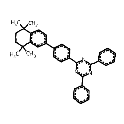 CC1(C)CCC(C)(C)c2cc(-c3ccc(-c4nc(-c5ccccc5)nc(-c5ccccc5)n4)cc3)ccc21